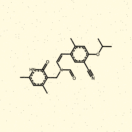 Cc1cc(C)c(CN(C=O)/C=C\c2cc(C#N)c(OC(C)C)cc2C)c(=O)[nH]1